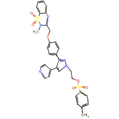 Cc1ccc(S(=O)(=O)OCCn2cc(-c3ccncc3)c(-c3ccc(OCC4=Nc5ccccc5S(=O)(=O)N4C)cc3)n2)cc1